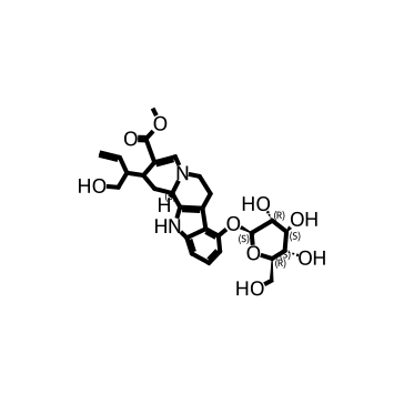 C=CC(CO)C1C[C@H]2c3[nH]c4cccc(O[C@@H]5O[C@H](CO)[C@@H](O)[C@H](O)[C@H]5O)c4c3CCN2C=C1C(=O)OC